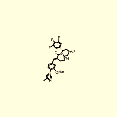 CCN1C[C@@H]2CC/C(=C\c3ccc(-n4cnc(C)c4)c(OC)c3)C(=O)N2[C@H](c2cc(F)c(F)c(F)c2)C1